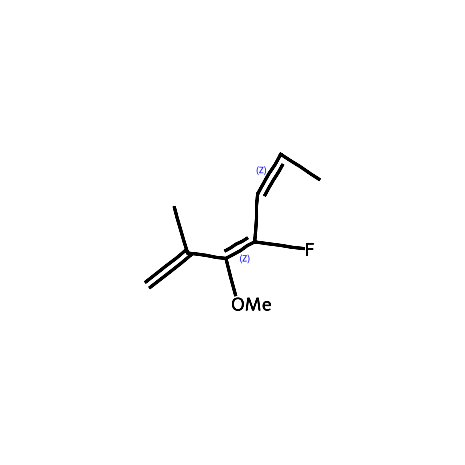 C=C(C)/C(OC)=C(F)\C=C/C